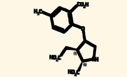 Cc1ccc(OC2CN[C@H](C(=O)O)[C@H]2CC(=O)O)c(C(=O)O)c1